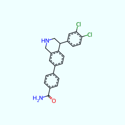 NC(=O)c1ccc(-c2ccc3c(c2)CNCC3c2ccc(Cl)c(Cl)c2)cc1